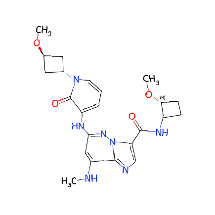 CNc1cc(Nc2cccn([C@H]3C[C@H](OC)C3)c2=O)nn2c(C(=O)NC3CC[C@H]3OC)cnc12